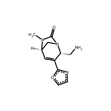 CN1C(=O)N2C[C@H]1C=C(c1ncco1)[C@H]2CN